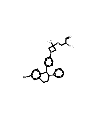 C[C@H](C=O)COC1(C)CN(c2ccc([C@@H]3c4ccc(O)cc4CC[C@@H]3c3ccccc3)cc2)C1